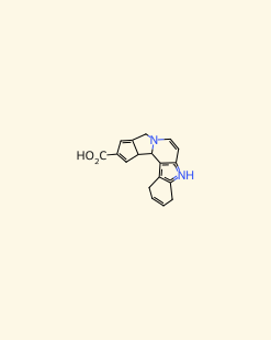 O=C(O)C1=CC2C(=C1)CN1C=Cc3[nH]c4c(c3C21)CC=CC4